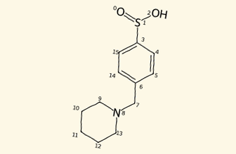 O=S(O)c1ccc(CN2CCCCC2)cc1